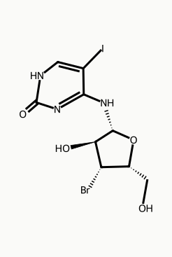 O=c1nc(N[C@@H]2O[C@H](CO)[C@H](Br)[C@H]2O)c(I)c[nH]1